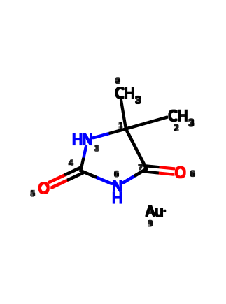 CC1(C)NC(=O)NC1=O.[Au]